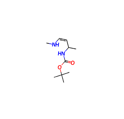 CN/C=C\C(C)NC(=O)OC(C)(C)C